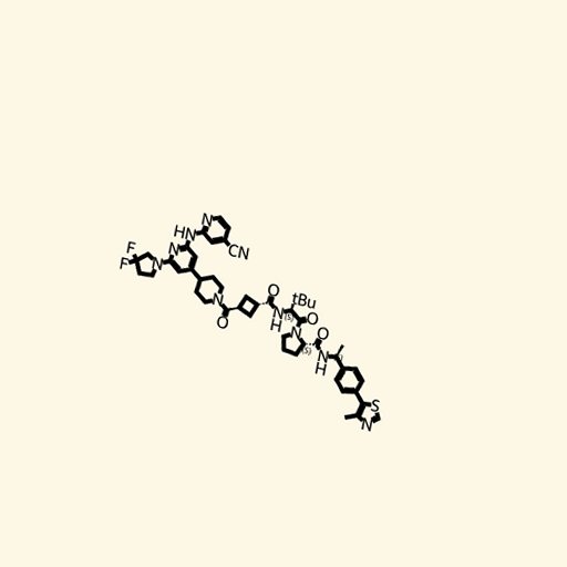 Cc1ncsc1-c1ccc([C@H](C)NC(=O)[C@@H]2CCCN2C(=O)[C@@H](NC(=O)[C@H]2C[C@H](C(=O)N3CCC(c4cc(Nc5cc(C#N)ccn5)nc(N5CCC(F)(F)C5)c4)CC3)C2)C(C)(C)C)cc1